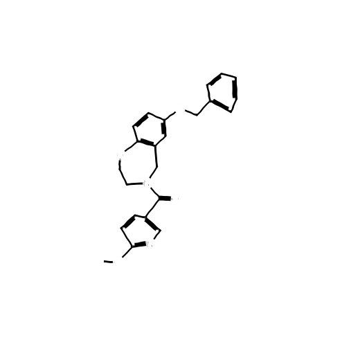 COc1ccc(C(=O)N2CCOc3ccc(OCc4ccccc4)cc3C2)cn1